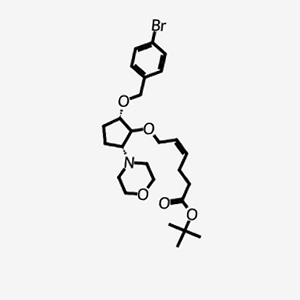 CC(C)(C)OC(=O)CC/C=C\COC1[C@@H](OCc2ccc(Br)cc2)CC[C@H]1N1CCOCC1